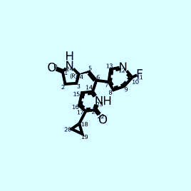 O=C1CC[C@H](C=C(c2ccc(F)nc2)c2ccc(C3CC3)c(=O)[nH]2)N1